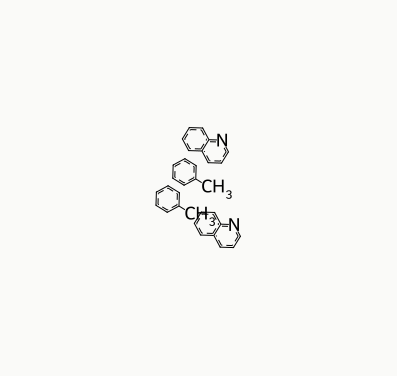 Cc1ccccc1.Cc1ccccc1.c1ccc2ncccc2c1.c1ccc2ncccc2c1